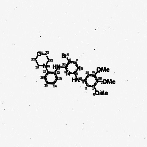 COc1cc(Nc2ncc(Br)c(Nc3ccccc3N3CCOCC3)n2)cc(OC)c1OC